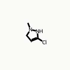 CN1C[C]=C(Cl)N1